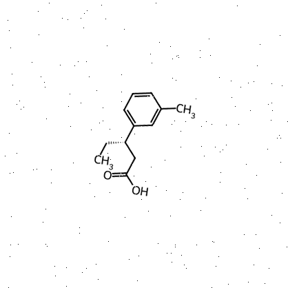 CC[C@@H](CC(=O)O)c1cccc(C)c1